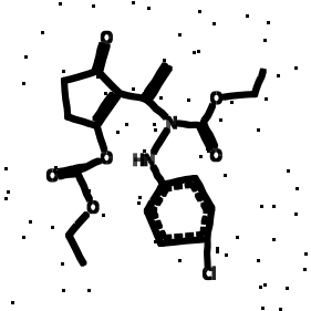 C=C(C1=C(OC(=O)OCC)CCC1=O)N(Nc1ccc(Cl)cc1)C(=O)OCC